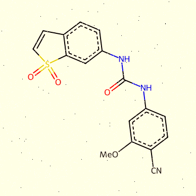 COc1cc(NC(=O)Nc2ccc3c(c2)S(=O)(=O)C=C3)ccc1C#N